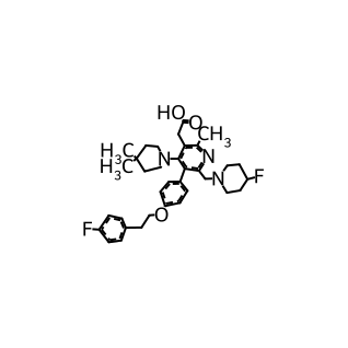 Cc1nc(CN2CCC(F)CC2)c(-c2ccc(OCCc3ccc(F)cc3)cc2)c(N2CCC(C)(C)CC2)c1CC(=O)O